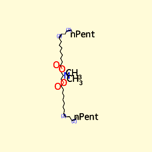 CCCCC/C=C\C/C=C\CCCCCCCC(=O)OCC(COC(=O)CCCCCCC/C=C\C/C=C\CCCCC)N(C)C